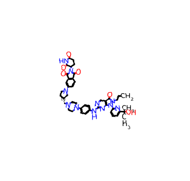 C=CCn1c(=O)c2cnc(Nc3ccc(N4CCN(C[C@@H]5CCN(c6ccc7c(c6)C(=O)N(C6CCC(=O)NC6=O)C7=O)C5)CC4)cc3)nc2n1-c1cccc(C(C)(C)O)n1